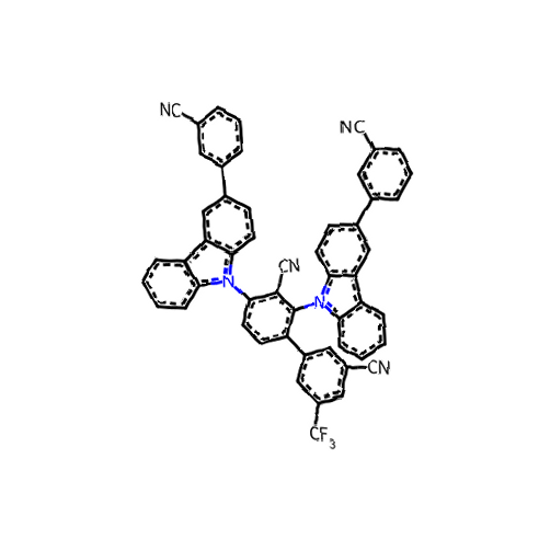 N#Cc1cccc(-c2ccc3c(c2)c2ccccc2n3-c2ccc(-c3cc(C#N)cc(C(F)(F)F)c3)c(-n3c4ccccc4c4cc(-c5cccc(C#N)c5)ccc43)c2C#N)c1